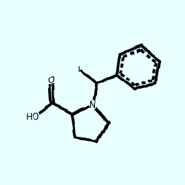 O=C(O)C1CCCN1C(I)c1ccccc1